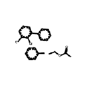 CCOC(C)=O.Cc1ccccc1.Clc1cccc(-c2ccccc2)c1Cl